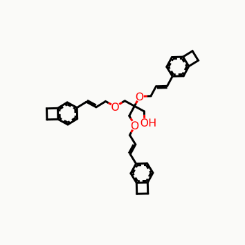 OCC(COC/C=C/c1ccc2c(c1)CC2)(COC/C=C/c1ccc2c(c1)CC2)OC/C=C/c1ccc2c(c1)CC2